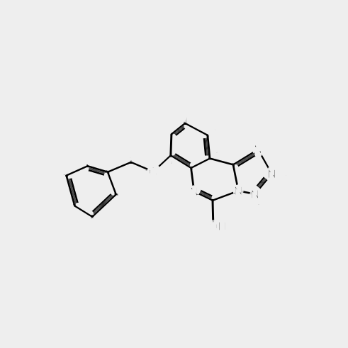 Oc1nc2c(OCc3ccccc3)cccc2c2nnnn12